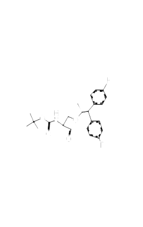 C[C@H](OC[C@@](C)(C=O)NC(=O)OC(C)(C)C)C(c1ccc(F)cc1)c1ccc(F)cc1